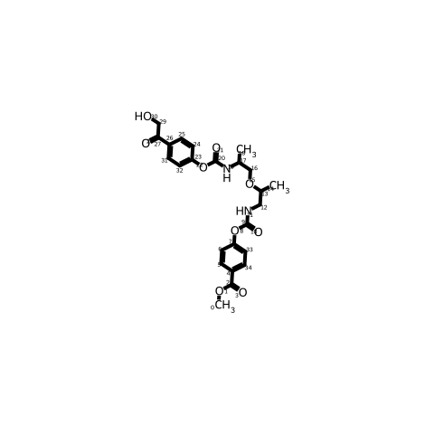 COC(=O)c1ccc(OC(=O)NCC(C)OCC(C)NC(=O)Oc2ccc(C(=O)CO)cc2)cc1